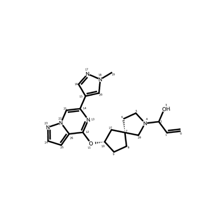 C=CC(O)N1CC[C@@]2(CC[C@H](Oc3nc(-c4cnn(C)c4)cn4nccc34)C2)C1